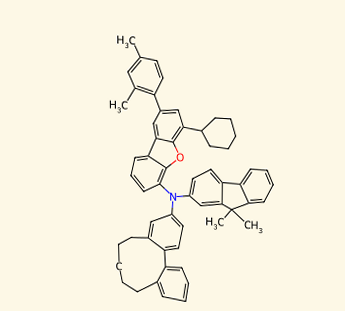 Cc1ccc(-c2cc(C3CCCCC3)c3oc4c(N(c5ccc6c(c5)CCCCCc5ccccc5-6)c5ccc6c(c5)C(C)(C)c5ccccc5-6)cccc4c3c2)c(C)c1